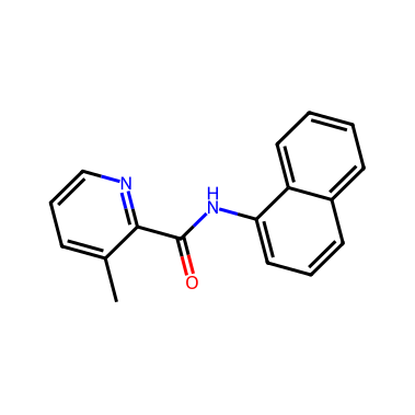 Cc1cccnc1C(=O)Nc1cccc2ccccc12